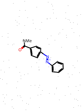 [CH2]NC(=O)c1ccc(/N=N/c2ccccc2)cc1